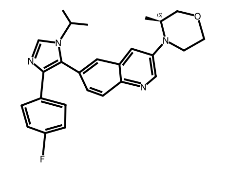 CC(C)n1cnc(-c2ccc(F)cc2)c1-c1ccc2ncc(N3CCOC[C@@H]3C)cc2c1